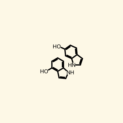 Oc1ccc2cc[nH]c2c1.Oc1cccc2[nH]ccc12